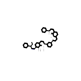 CCC(/C=C\c1ccc2ccc(-c3cccc(-c4ccc5ccc6ccc(-c7ccccc7)nc6c5n4)c3)nc2c1N)c1ccccc1